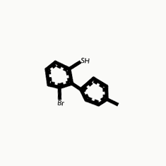 Cc1ccc(-c2c(S)cccc2Br)cc1